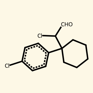 O=CC(Cl)C1(c2ccc(Cl)cc2)CCCCC1